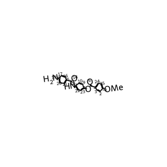 COc1ccc(C(=O)Oc2ccc(NC(=O)c3ccc(N)cc3)cc2)cc1